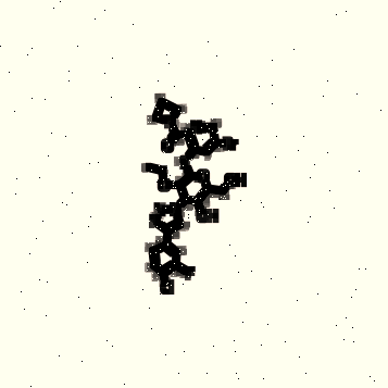 CCOC1C(Sc2cc(Br)cnc2C(=O)N2CCC2)OC(CO)C(O)C1n1cc(-c2ccc(Cl)c(F)c2)nn1